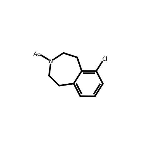 CC(=O)N1CCc2cccc(Cl)c2CC1